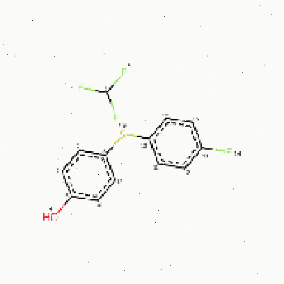 FC(F)F.Oc1ccc(Sc2ccc(F)cc2)cc1